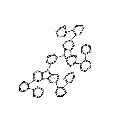 c1ccc(-c2ccccc2-c2ccc3c(c2)c2cc(-c4ccccc4-c4ccccn4)ccc2n3-c2cccc(-n3c4ccc(-c5ccccc5-c5ccccn5)cc4c4cc(-c5ccccc5-c5ccccn5)ccc43)c2)nc1